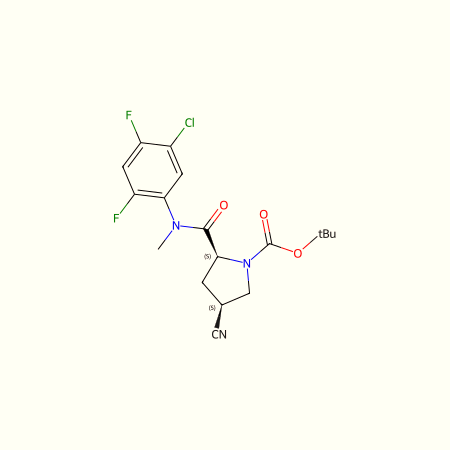 CN(C(=O)[C@@H]1C[C@H](C#N)CN1C(=O)OC(C)(C)C)c1cc(Cl)c(F)cc1F